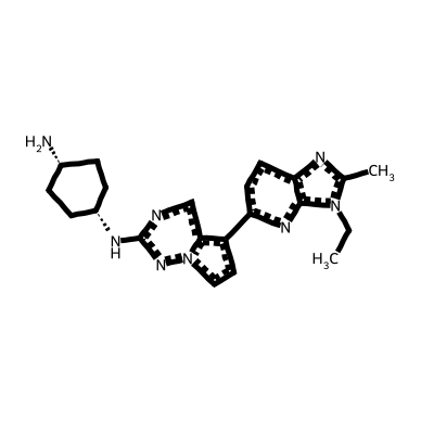 CCn1c(C)nc2ccc(-c3ccn4nc(N[C@H]5CC[C@@H](N)CC5)ncc34)nc21